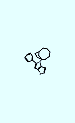 c1ccc(-c2cc3sccc3n2C23CCCCCC(CC2)C3)cc1